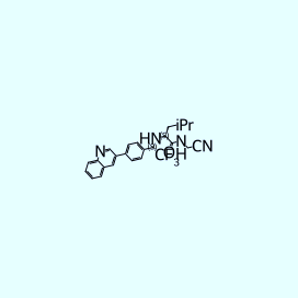 CC(C)C[C@H](N[C@@H](c1ccc(-c2cnc3ccccc3c2)cc1)C(F)(F)F)C(=O)NCC#N